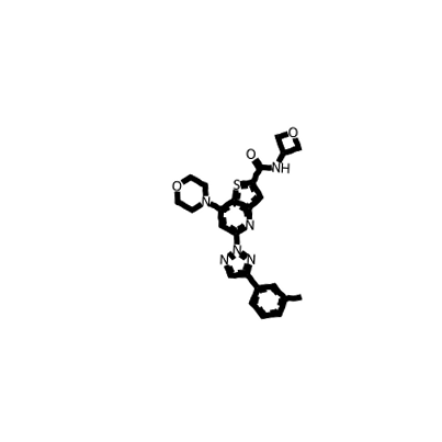 Cc1cccc(-c2cnn(-c3cc(N4CCOCC4)c4sc(C(=O)NC5COC5)cc4n3)n2)c1